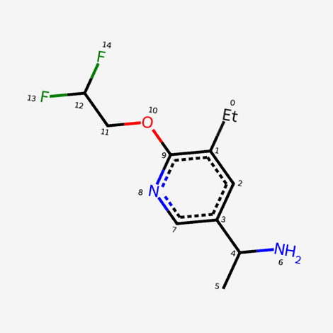 CCc1cc(C(C)N)cnc1OCC(F)F